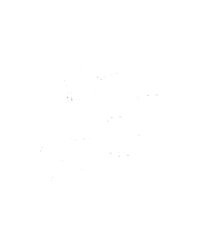 CCSc1cccc(SC(F)(F)F)c1-c1nccn1C